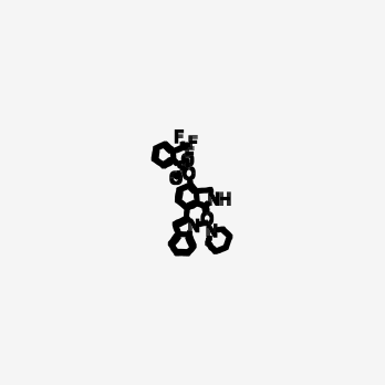 O=C1NCc2c(OS(=O)(=O)c3ccccc3C(F)(F)F)ccc(-c3cc4ccccc4n3CN3CCCCC3)c21